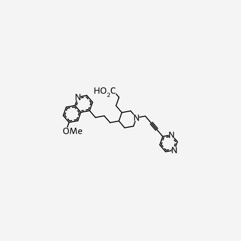 COc1ccc2nccc(CCCC3CCN(CC#Cc4ccncn4)CC3CCC(=O)O)c2c1